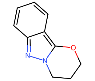 c1ccc2c3n(nc2c1)CCCO3